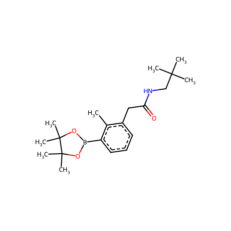 Cc1c(CC(=O)NCC(C)(C)C)cccc1B1OC(C)(C)C(C)(C)O1